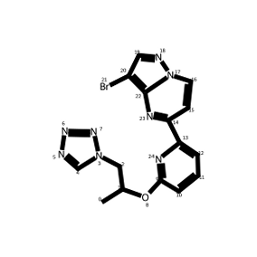 CC(Cn1cnnn1)Oc1cccc(-c2ccn3ncc(Br)c3n2)n1